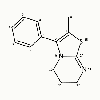 CC1=C(c2ccccc2)N2CCCN=C2S1